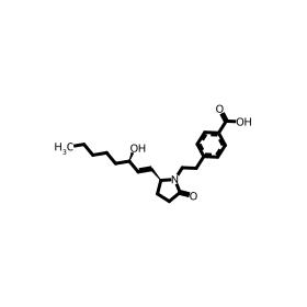 CCCCC[C@@H](O)/C=C/[C@@H]1CCC(=O)N1CCc1ccc(C(=O)O)cc1